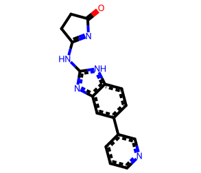 O=C1CCC(Nc2nc3cc(-c4cccnc4)ccc3[nH]2)=N1